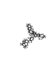 C1=Cc2cc(-c3ccc(-c4cc5c6ccccc6sc5c5nc6c7cc8ccccc8cc7ccc6n45)cc3)ccc2Sc2ccccc21